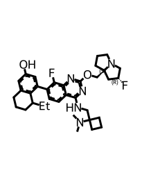 CCC1CCCc2cc(O)cc(-c3ccc4c(NCC5(N(C)C)CCC5)nc(OC[C@@]56CCCN5C[C@H](F)C6)nc4c3F)c21